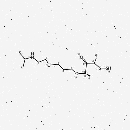 CC(C)NCCOCCCO[C@H](C)C(=O)C(C)SS